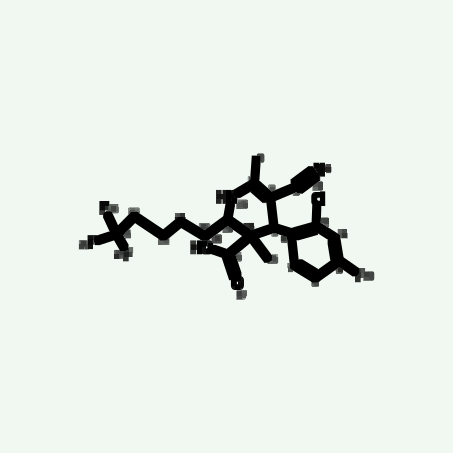 CC1=C(C#N)C(c2ccc(F)cc2Cl)C(C)(C(=O)O)C(CCCCC(F)(F)F)N1